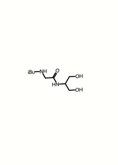 CCC(C)NCC(=O)NC(CO)CO